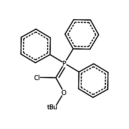 CC(C)(C)OC(Cl)=P(c1ccccc1)(c1ccccc1)c1ccccc1